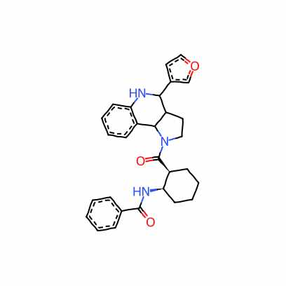 O=C(N[C@@H]1CCCC[C@@H]1C(=O)N1CCC2C(c3ccoc3)Nc3ccccc3C21)c1ccccc1